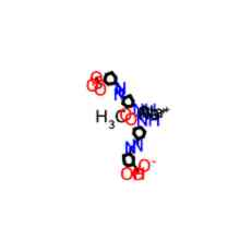 COc1cc(N=Nc2cccc(S(=O)(=O)[O-])c2)ccc1NC(=O)Nc1ccc(N=Nc2ccc(O)c(C(=O)[O-])c2)cc1.[Na+].[Na+]